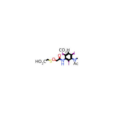 CC(=O)N(C)c1c(I)c(NC(=O)COSCC(=O)O)c(I)c(C(=O)O)c1I